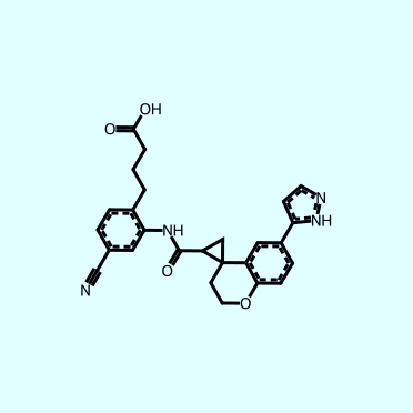 N#Cc1ccc(CCCC(=O)O)c(NC(=O)C2CC23CCOc2ccc(-c4ccn[nH]4)cc23)c1